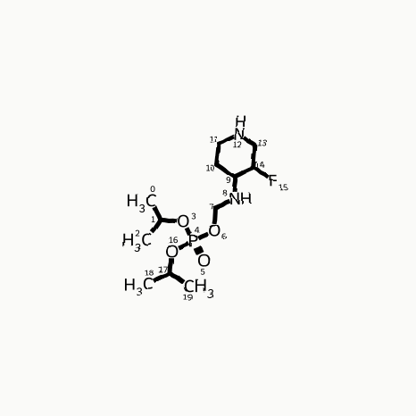 CC(C)OP(=O)(OCNC1CCNCC1F)OC(C)C